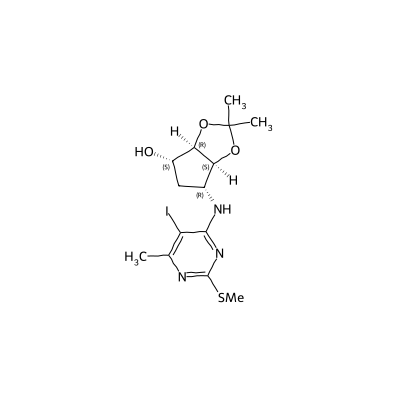 CSc1nc(C)c(I)c(N[C@@H]2C[C@H](O)[C@H]3OC(C)(C)O[C@H]32)n1